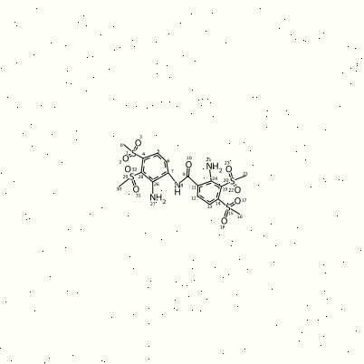 CS(=O)(=O)c1ccc(NC(=O)c2ccc(S(C)(=O)=O)c(S(C)(=O)=O)c2N)c(N)c1S(C)(=O)=O